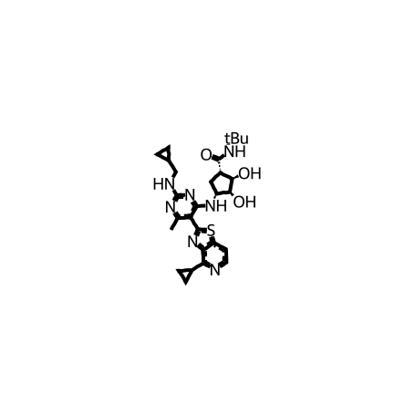 Cc1nc(NCC2CC2)nc(N[C@@H]2C[C@H](C(=O)NC(C)(C)C)[C@@H](O)[C@H]2O)c1-c1nc2c(C3CC3)nccc2s1